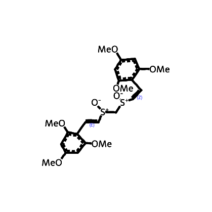 COc1cc(OC)c(/C=C\[S+]([O-])C[S+]([O-])/C=C/c2c(OC)cc(OC)cc2OC)c(OC)c1